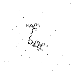 COC(=O)C(C)NC(=O)C1=CC=CC(CCCCCC(=O)N(C)C)C1